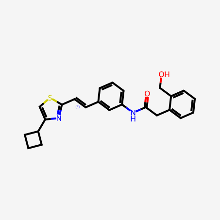 O=C(Cc1ccccc1CO)Nc1cccc(/C=C/c2nc(C3CCC3)cs2)c1